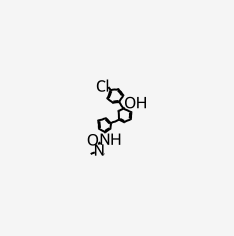 CN(C)C(=O)Nc1cccc(C2=CC=CC(O)(c3ccc(Cl)cc3)C2)c1